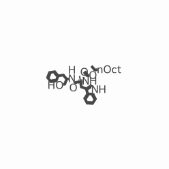 CCCCCCCCC(C)OC(=O)N[C@](C)(Cc1c[nH]c2ccccc12)C(=O)NC(CO)Cc1ccccc1